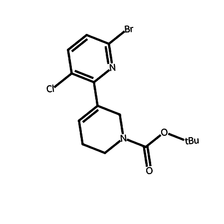 CC(C)(C)OC(=O)N1CCC=C(c2nc(Br)ccc2Cl)C1